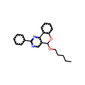 CCCCCOC1Oc2ccccc2-c2nc(-c3ccccc3)ncc21